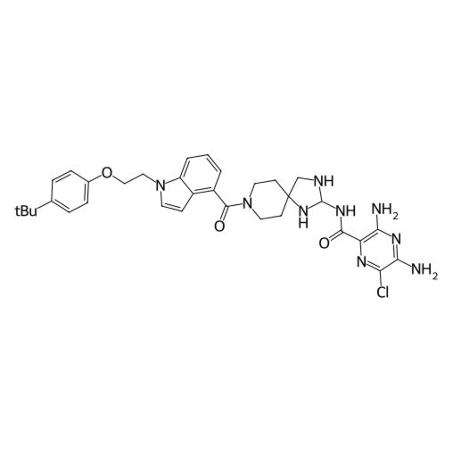 CC(C)(C)c1ccc(OCCn2ccc3c(C(=O)N4CCC5(CC4)CNC(NC(=O)c4nc(Cl)c(N)nc4N)N5)cccc32)cc1